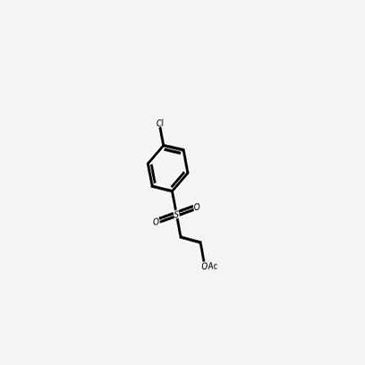 CC(=O)OCCS(=O)(=O)c1ccc(Cl)cc1